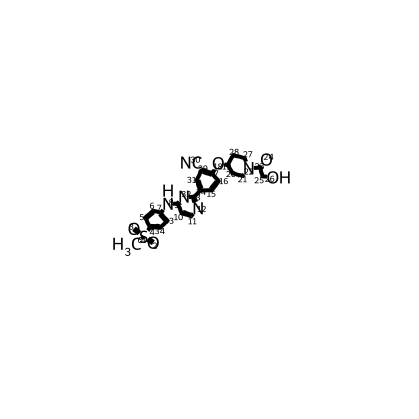 CS(=O)(=O)c1ccc(Nc2ccnc(-c3ccc(OC4CCN(C(=O)CO)CC4)c(C#N)c3)n2)cc1